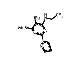 CCC(C)c1c(NCC(F)(F)F)nc(-n2cccn2)nc1SC